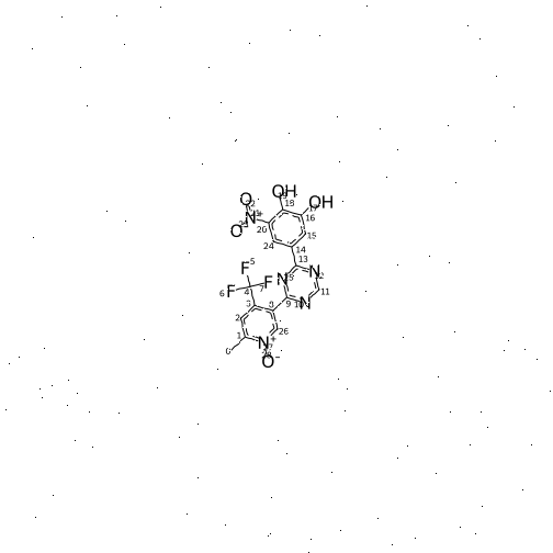 Cc1cc(C(F)(F)F)c(-c2ncnc(-c3cc(O)c(O)c([N+](=O)[O-])c3)n2)c[n+]1[O-]